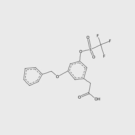 O=C(O)Cc1cc(OCc2ccccc2)cc(OS(=O)(=O)C(F)(F)F)c1